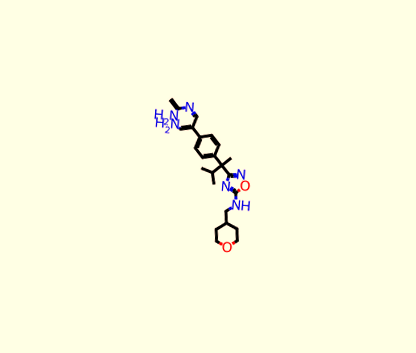 C=C(N)/N=C\C(=C/N)c1ccc(C(C)(c2noc(NCC3CCOCC3)n2)C(C)C)cc1